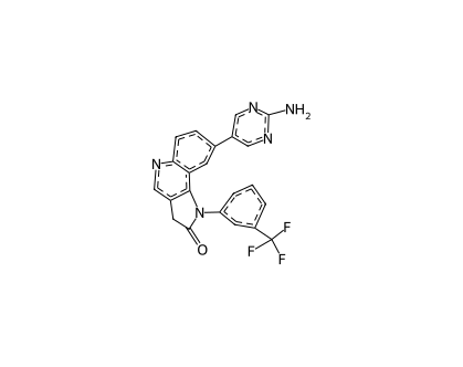 Nc1ncc(-c2ccc3ncc4c(c3c2)N(c2cccc(C(F)(F)F)c2)C(=O)C4)cn1